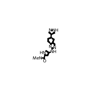 CNC(=O)c1cc(Nc2ncc3cc(-c4cn[nH]c4)ccc3n2)c[nH]1